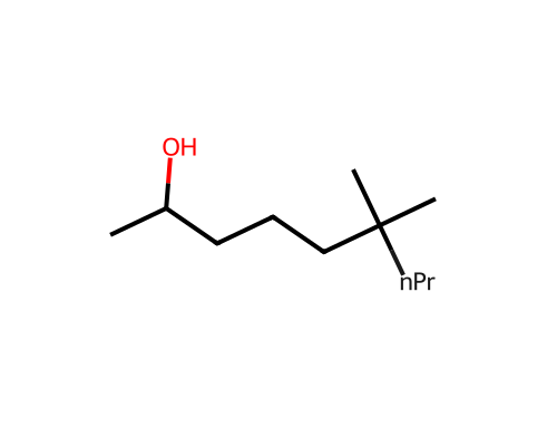 CCCC(C)(C)CCCC(C)O